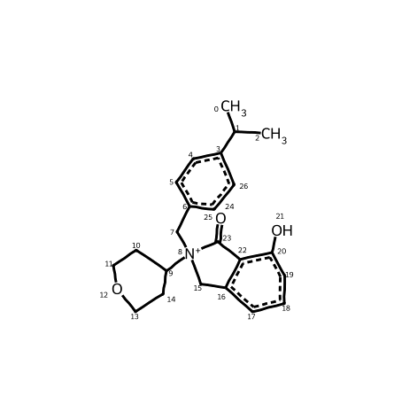 CC(C)c1ccc(C[N+]2(C3CCOCC3)Cc3cccc(O)c3C2=O)cc1